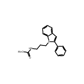 COC(=O)NCCCn1c(-c2ccccc2)cc2ccccc21